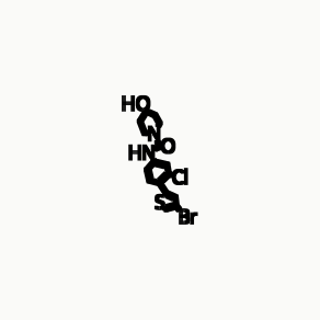 O=C(Nc1ccc(-c2cc(Br)cs2)c(Cl)c1)N1CCC(O)CC1